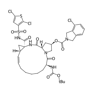 CC(C)(C)OC(=O)N[C@H]1CCCCC/C=C\[C@@H]2C[C@@]2(C(=O)NS(=O)(=O)c2cc(Cl)sc2Cl)NC(=O)[C@@H]2C[C@@H](OC(=O)N3Cc4cccc(Cl)c4C3)CN2C1=O